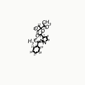 CC(=O)C1(OC(=O)c2ccnn2[C@H](C)c2ccccc2)COC1